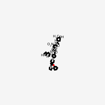 CC(C)c1ccccc1[C@H]1CCCN1C1CC2(CCN(c3ccc(C(=O)NS(=O)(=O)c4cc([N+](=O)[O-])c5c(n4)OC[C@H](C4CCC(C)(O)CC4)N5)c(Oc4cnc5[nH]ccc5c4)c3)CC2)C1